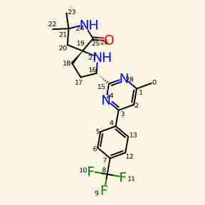 Cc1cc(-c2ccc(C(F)(F)F)cc2)nc([C@@H]2CC[C@]3(CC(C)(C)NC3=O)N2)n1